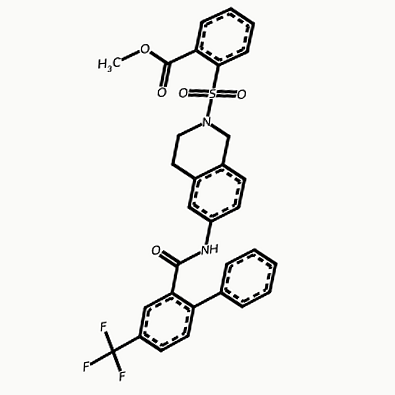 COC(=O)c1ccccc1S(=O)(=O)N1CCc2cc(NC(=O)c3cc(C(F)(F)F)ccc3-c3ccccc3)ccc2C1